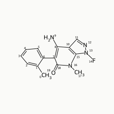 Cc1ccccc1-c1c(N)c2cnn(F)c2n(C)c1=O